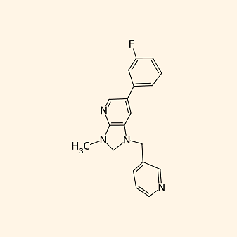 CN1CN(Cc2cccnc2)c2cc(-c3cccc(F)c3)cnc21